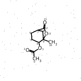 CC(=O)OC1CCC2CC1(C)OC2=O